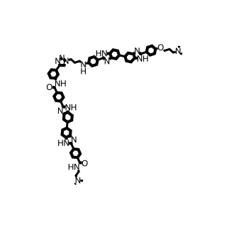 CN(C)CCCOc1ccc(-c2nc3cc(-c4ccc5[nH]c(-c6ccc(NCCCn7cc(-c8cccc(NC(=O)c9ccc(-c%10nc%11cc(-c%12ccc%13[nH]c(-c%14ccc(C(=O)NCCN(C)C)cc%14)nc%13c%12)ccc%11[nH]%10)cc9)c8)nn7)cc6)nc5c4)ccc3[nH]2)cc1